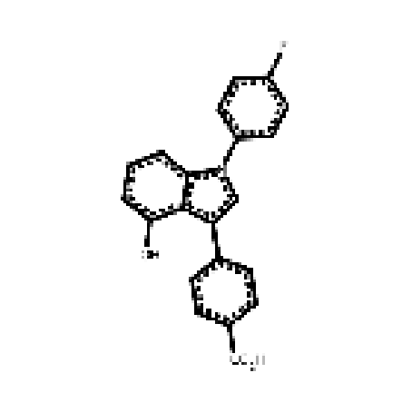 O=C(O)c1ccc(-c2cn(-c3ccc(F)cc3)c3cccc(O)c23)cc1